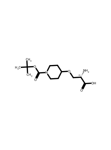 CC(C)(C)OC(=O)N1CCC(OC[C@H](N)C(=O)O)CC1